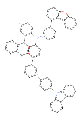 c1cc(-c2ccc(N(c3cccc(-c4cccc5oc6ccccc6c45)c3)c3ccccc3-c3cccc4ccccc34)cc2)cc(-c2ccc(-n3c4ccccc4c4ccccc43)cc2)c1